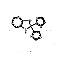 c1ccc2c(c1)NC(c1cscn1)(c1nccs1)N2